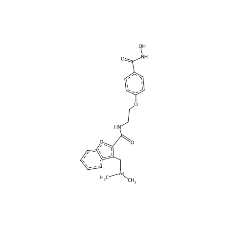 C[As](C)Cc1c(C(=O)NCCOc2ccc(C(=O)NO)cc2)oc2ccccc12